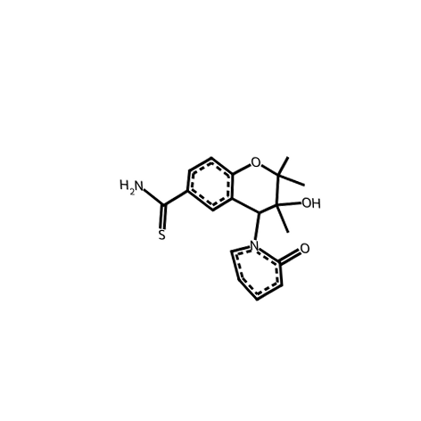 CC1(C)Oc2ccc(C(N)=S)cc2C(n2ccccc2=O)C1(C)O